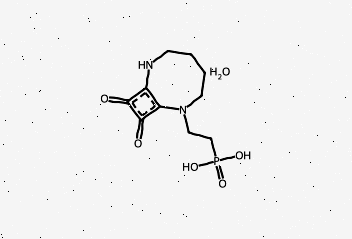 O.O=c1c2c(c1=O)N(CCP(=O)(O)O)CCCCN2